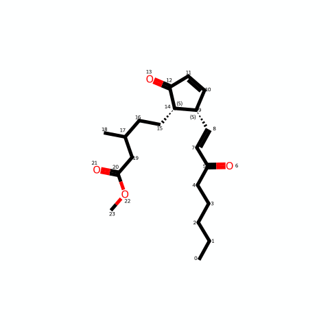 CCCCCC(=O)C=C[C@H]1C=CC(=O)[C@H]1CCC(C)CC(=O)OC